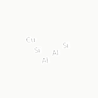 [Al].[Al].[Cu].[Si].[Si]